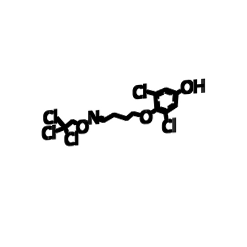 Oc1cc(Cl)c(OCCC/C=N/OCC(Cl)(Cl)Cl)c(Cl)c1